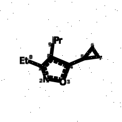 CCc1noc(C2CC2)c1C(C)C